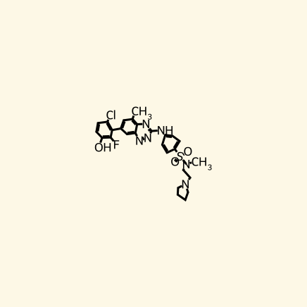 Cc1cc(-c2c(Cl)ccc(O)c2F)cc2nnc(Nc3ccc(S(=O)(=O)N(C)CCN4CCCC4)cc3)nc12